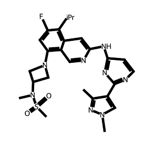 Cc1nn(C)cc1-c1nccc(Nc2cc3c(C(C)C)c(F)cc(N4CC(N(C)S(C)(=O)=O)C4)c3cn2)n1